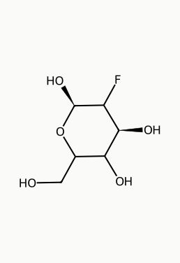 OCC1O[C@@H](O)C(F)[C@@H](O)C1O